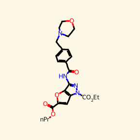 CCCOC(=O)c1cc2c(o1)c(NC(=O)c1ccc(CN3CCOCC3)cc1)nn2C(=O)OCC